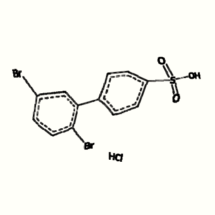 Cl.O=S(=O)(O)c1ccc(-c2cc(Br)ccc2Br)cc1